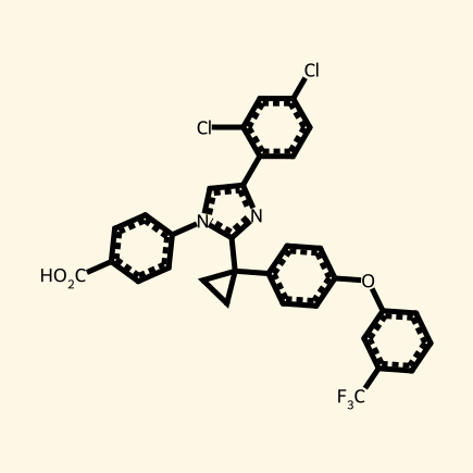 O=C(O)c1ccc(-n2cc(-c3ccc(Cl)cc3Cl)nc2C2(c3ccc(Oc4cccc(C(F)(F)F)c4)cc3)CC2)cc1